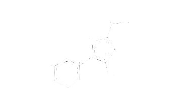 CCOC(=O)c1nc(CO)sc1-c1ccccc1